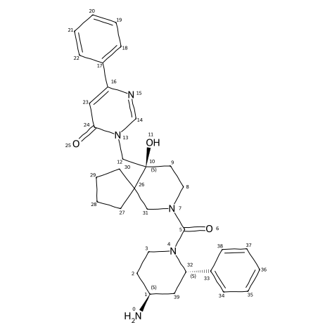 N[C@H]1CCN(C(=O)N2CC[C@@](O)(Cn3cnc(-c4ccccc4)cc3=O)C3(CCCC3)C2)[C@H](c2ccccc2)C1